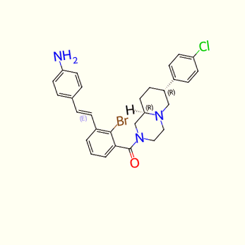 Nc1ccc(/C=C/c2cccc(C(=O)N3CCN4C[C@@H](c5ccc(Cl)cc5)CC[C@@H]4C3)c2Br)cc1